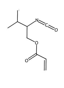 [CH2]C(C)C(COC(=O)C=C)N=C=O